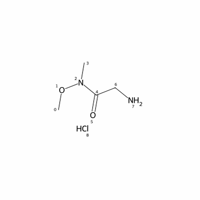 CON(C)C(=O)CN.Cl